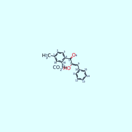 Cc1ccc(C(=O)C(O)=Cc2ccccc2)c(C(=O)O)c1